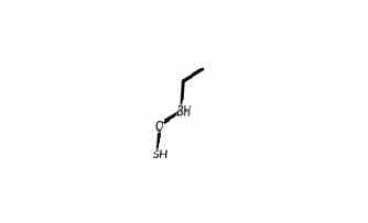 CCBOS